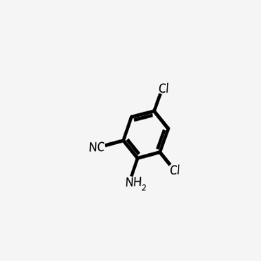 N#Cc1cc(Cl)cc(Cl)c1N